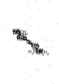 COC(=O)NC(C(=O)N1CCC[C@H]1c1ncc(-c2cc3sc(-c4ccc5nc([C@@H]6CCCN6C(O)[C@@H](NC(=O)OC)C(C)C)[nH]c5c4)cc3s2)[nH]1)C(C)C